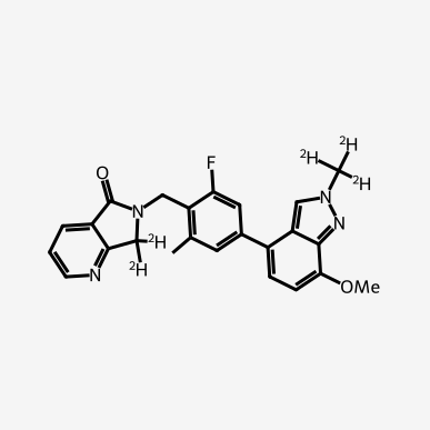 [2H]C1([2H])c2ncccc2C(=O)N1Cc1c(C)cc(-c2ccc(OC)c3nn(C([2H])([2H])[2H])cc23)cc1F